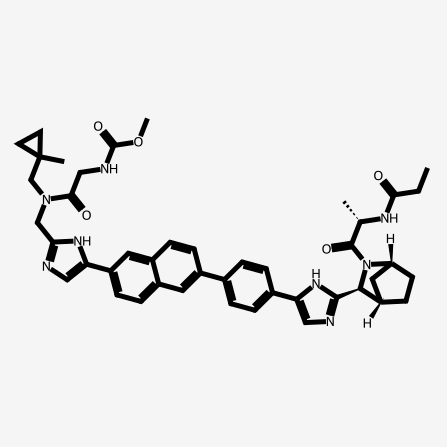 CCC(=O)N[C@@H](C)C(=O)N1[C@@H]2CC[C@@H](C2)[C@H]1c1ncc(-c2ccc(-c3ccc4cc(-c5cnc(CN(CC6(C)CC6)C(=O)CNC(=O)OC)[nH]5)ccc4c3)cc2)[nH]1